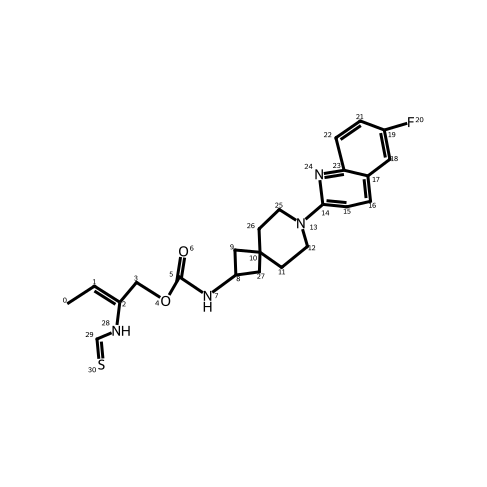 C/C=C(/COC(=O)NC1CC2(CCN(c3ccc4cc(F)ccc4n3)CC2)C1)NC=S